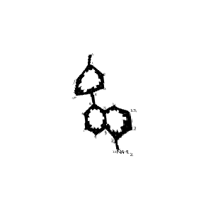 Cc1ccc(-c2cccc3c(N)cccc23)cc1